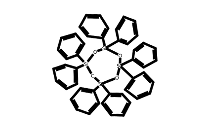 c1ccc([Si]2(c3ccccc3)C[Si](c3ccccc3)(c3ccccc3)O[Si](c3ccccc3)(c3ccccc3)O[Si](c3ccccc3)(c3ccccc3)O2)cc1